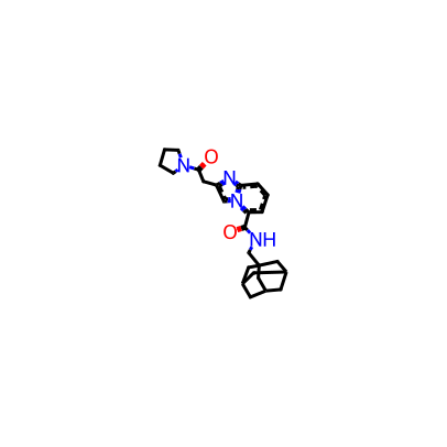 O=C(NCC12CC3CC(CC(C3)C1)C2)c1cccc2nc(CC(=O)N3CCCC3)cn12